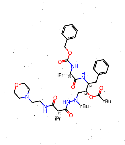 CCCCN(C[C@H](OC(=O)C(C)(C)C)[C@H](Cc1ccccc1)NC(=O)[C@@H](NC(=O)OCc1ccccc1)C(C)C)NC(=O)[C@@H](C(=O)NCCN1CCOCC1)C(C)C